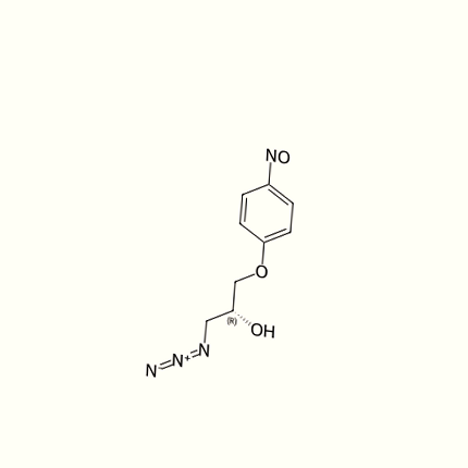 [N-]=[N+]=NC[C@@H](O)COc1ccc(N=O)cc1